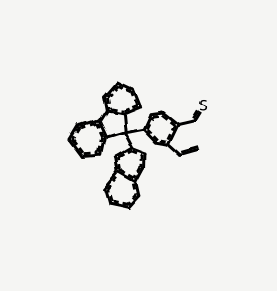 C=Cc1cc(C2(c3ccc4ccccc4c3)c3ccccc3-c3ccccc32)ccc1C=S